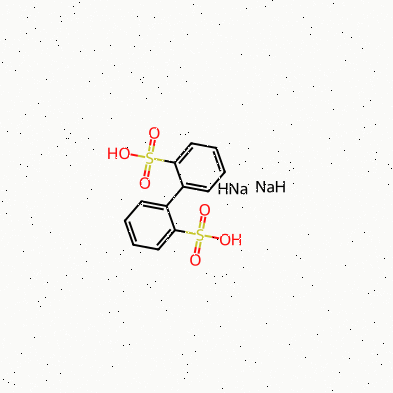 O=S(=O)(O)c1ccccc1-c1ccccc1S(=O)(=O)O.[NaH].[NaH]